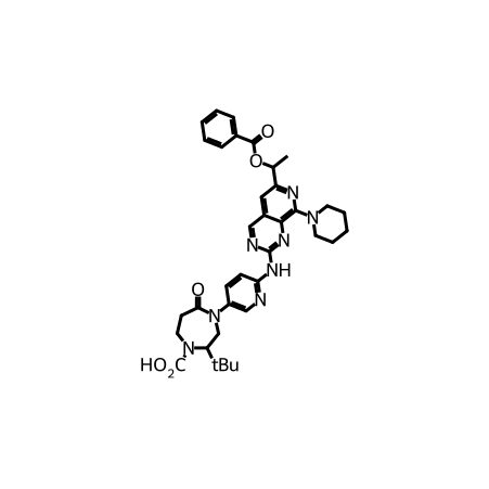 CC(OC(=O)c1ccccc1)c1cc2cnc(Nc3ccc(N4CC(C(C)(C)C)N(C(=O)O)CCC4=O)cn3)nc2c(N2CCCCC2)n1